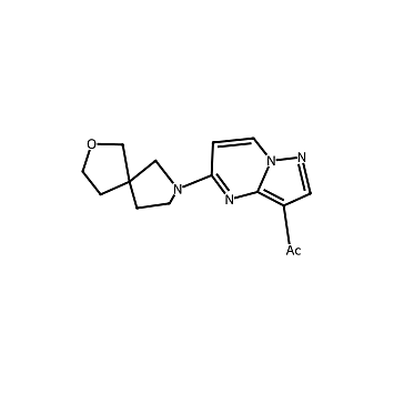 CC(=O)c1cnn2ccc(N3CCC4(CCOC4)C3)nc12